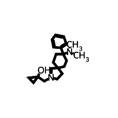 CN(C)C1(c2ccccc2)CCC2(CCN(CC3(O)CC3)C2)CC1